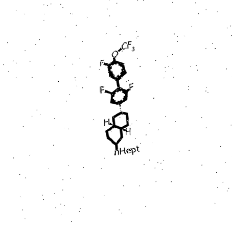 CCCCCCCC1CC[C@@H]2C[C@H](c3cc(F)c(-c4ccc(OC(F)(F)F)c(F)c4)c(F)c3)CC[C@@H]2C1